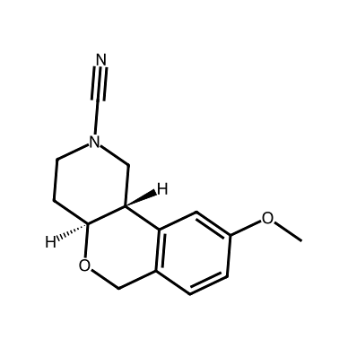 COc1ccc2c(c1)[C@H]1CN(C#N)CC[C@@H]1OC2